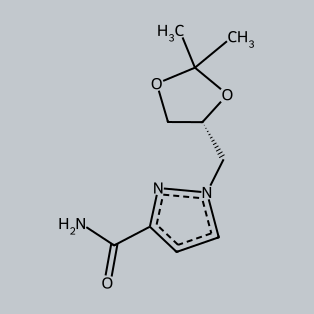 CC1(C)OC[C@@H](Cn2ccc(C(N)=O)n2)O1